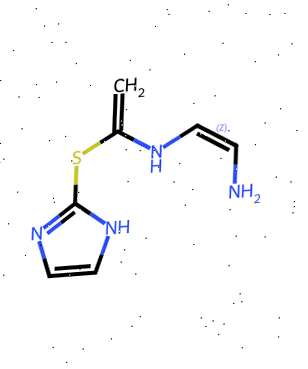 C=C(N/C=C\N)Sc1ncc[nH]1